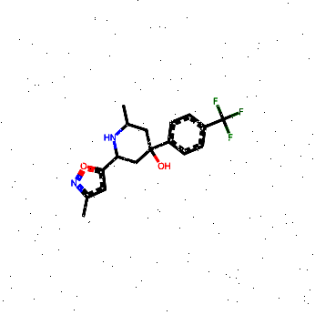 Cc1cc(C2CC(O)(c3ccc(C(F)(F)F)cc3)CC(C)N2)on1